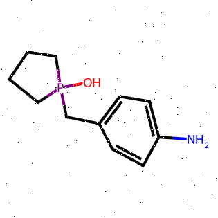 Nc1ccc(C[P]2(O)CCCC2)cc1